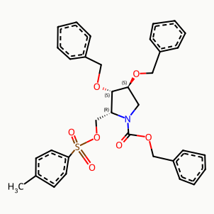 Cc1ccc(S(=O)(=O)OC[C@@H]2[C@H](OCc3ccccc3)[C@@H](OCc3ccccc3)CN2C(=O)OCc2ccccc2)cc1